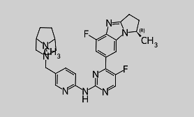 C[C@@H]1CCc2nc3c(F)cc(-c4nc(Nc5ccc(CN6CC7CCC(C6)N7C)cn5)ncc4F)cc3n21